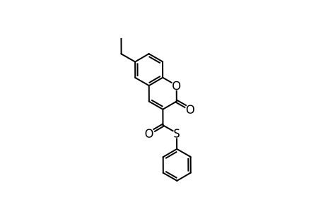 CCc1ccc2oc(=O)c(C(=O)Sc3ccccc3)cc2c1